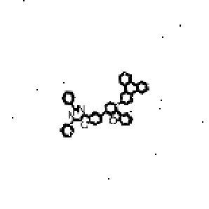 c1ccc(-c2nc(-c3ccccc3)c3oc4ccc(-c5ccc(-c6ccc7c8ccccc8c8ccccc8c7c6)c6c5oc5ccccc56)cc4c3n2)cc1